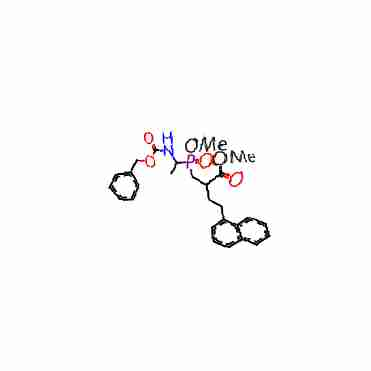 COC(=O)C(CCc1cccc2ccccc12)CP(=O)(OC)C(C)NC(=O)OCc1ccccc1